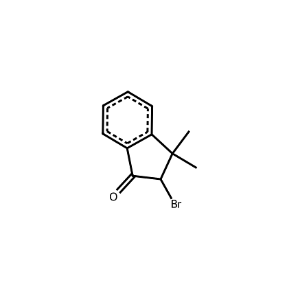 CC1(C)c2ccccc2C(=O)C1Br